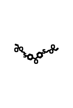 C=CC(=O)OCCSc1ccc(C(=O)c2ccc(SCCOC(=O)C=C)cc2)cc1